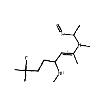 C=NC(C)N(C)/C(C)=C/C(CCC(C)(F)F)NC